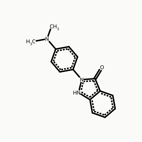 CN(C)c1ccc(-n2[nH]c3ccccc3c2=O)cc1